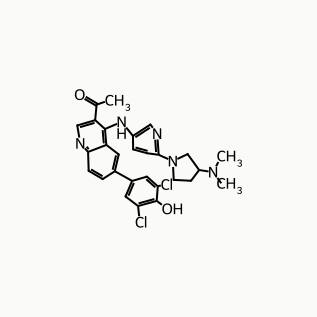 CC(=O)c1cnc2ccc(-c3cc(Cl)c(O)c(Cl)c3)cc2c1Nc1ccc(N2CCC(N(C)C)C2)nc1